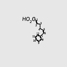 O=C(O)/C=C/CC/C=C\c1ccccc1